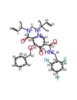 C=CC(C)N1CN(C(C)(C)C=C)n2cc(C(=O)NCc3c(F)cc(F)cc3F)c(=O)c(OCc3ccccc3)c2C1=O